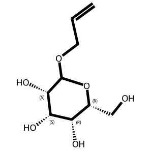 C=CCOC1O[C@H](CO)[C@H](O)[C@H](O)[C@@H]1O